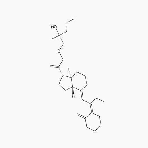 C=C1CCCCC1=C(C=C1CCC[C@]2(C)[C@@H](C(=C)COCC(C)(O)CCC)CC[C@@H]12)CC